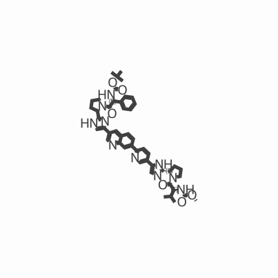 COC(=O)N[C@H](C(=O)N1CCC[C@H]1c1ncc(-c2ccc(-c3ccc4cc(-c5c[nH]c(C6CCCN6C(=O)[C@H](NC(=O)OC(C)(C)C)c6ccccc6)n5)cnc4c3)nc2)[nH]1)C(C)C